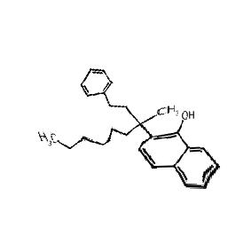 CCCCCCC(C)(CCc1ccccc1)c1ccc2ccccc2c1O